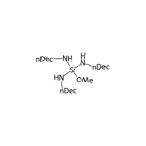 CCCCCCCCCCN[Si](NCCCCCCCCCC)(NCCCCCCCCCC)OC